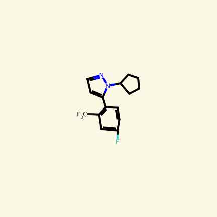 Fc1ccc(-c2ccnn2C2CCCC2)c(C(F)(F)F)c1